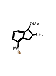 COC1c2ccc[c]([Mg][Br])c2CC1C